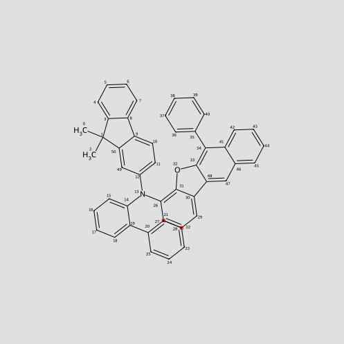 CC1(C)c2ccccc2-c2ccc(N(c3ccccc3-c3ccccc3)c3cccc4c3oc3c(-c5ccccc5)c5ccccc5cc34)cc21